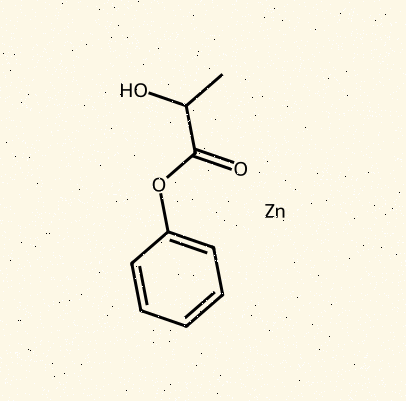 CC(O)C(=O)Oc1ccccc1.[Zn]